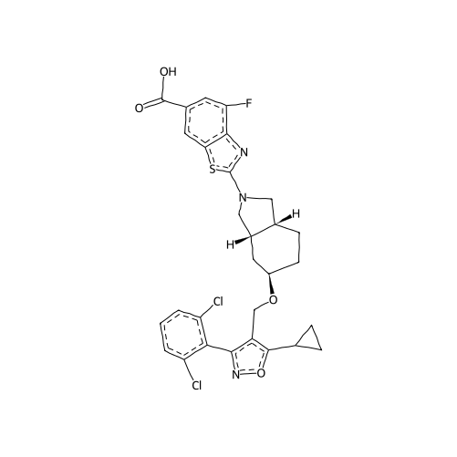 O=C(O)c1cc(F)c2nc(N3C[C@H]4C[C@H](OCc5c(-c6c(Cl)cccc6Cl)noc5C5CC5)CC[C@H]4C3)sc2c1